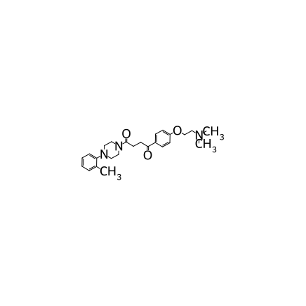 Cc1ccccc1N1CCN(C(=O)CCC(=O)c2ccc(OCCN(C)C)cc2)CC1